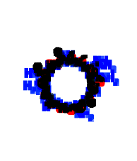 CCCC[C@H]1C(=O)N(C)[C@@H](CCCC)C(=O)N[C@@H](CCCNC(=N)N)C(=O)N[C@H](C(=O)NCC(N)=O)CSCC(=O)N[C@@H](Cc2ccccc2)C(=O)N(C)[C@@H](C)C(=O)N[C@@H](CC(N)=O)C(=O)N2CCC[C@H]2C(=O)N[C@@H](Cc2cnc[nH]2)C(=O)N[C@@H](CC(C)C)C(=O)N[C@@H](CC(N)=O)C(=O)N[C@@H](CCc2c[nH]c3ccccc23)C(=O)N[C@@H](CO)C(=O)N[C@@H](Cc2c[nH]c3ccccc23)C(=O)N1C